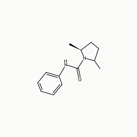 CC1CC[C@H](C)N1C(=O)Nc1ccccc1